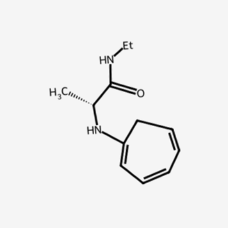 CCNC(=O)[C@@H](C)NC1=CC=CC=CC1